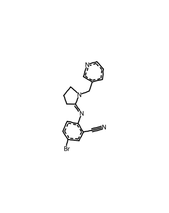 N#Cc1cc(Br)ccc1N=C1CCCN1Cc1cccnc1